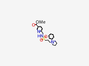 COC(=O)c1ccc(CNS(=O)(=O)CCC[N+]2(c3ccccc3)CCCC2)nc1